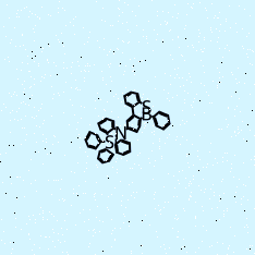 c1ccc(B2Sc3ccccc3-c3cc(N4c5ccccc5[Si](c5ccccc5)(c5ccccc5)c5ccccc54)ccc32)cc1